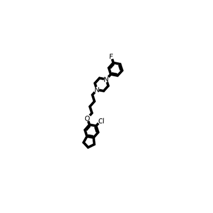 Fc1cccc(N2CCN(CCCCOc3cc4c(cc3Cl)CCC4)CC2)c1